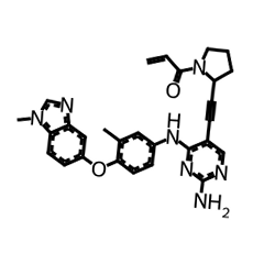 C=CC(=O)N1CCCC1C#Cc1cnc(N)nc1Nc1ccc(Oc2ccc3c(c2)ncn3C)c(C)c1